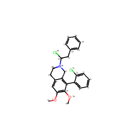 COc1cc2c(c(-c3ccccc3Cl)c1OC)CN(C(Cl)Cc1ccccc1)CC2